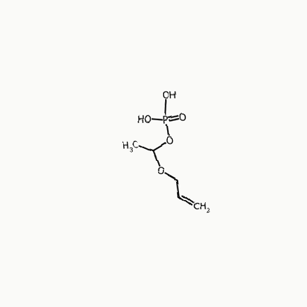 C=CCOC(C)OP(=O)(O)O